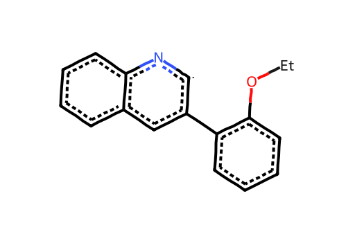 CCOc1ccccc1-c1[c]nc2ccccc2c1